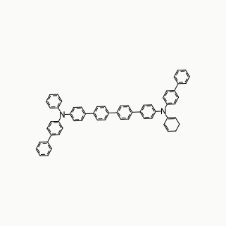 C1=CC(N(c2ccc(-c3ccccc3)cc2)c2ccc(-c3ccc(-c4ccc(-c5ccc(N(c6ccccc6)c6ccc(-c7ccccc7)cc6)cc5)cc4)cc3)cc2)=CCC1